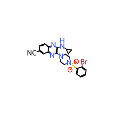 N#Cc1ccc2nc(NC3CC3)c(N3CCN(S(=O)(=O)c4ccccc4Br)CC3)nc2c1